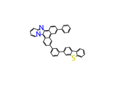 c1ccc(-c2ccc3c(c2)c2cc(-c4cccc(-c5ccc6c(c5)sc5ccccc56)c4)ccc2c2c3nc3ccccn32)cc1